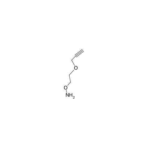 C#CCOCCON